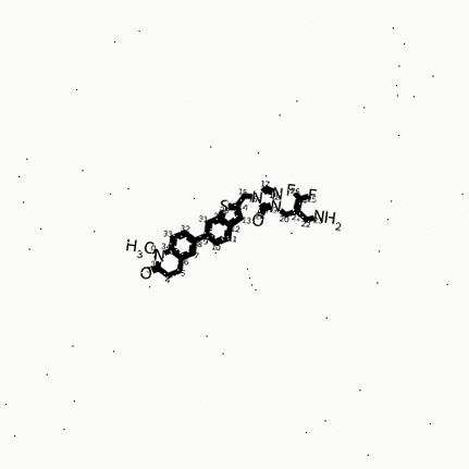 CN1C(=O)CCc2cc(-c3ccc4cc(Cn5cnn(CC(CN)=C(F)F)c5=O)sc4c3)ccc21